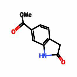 COC(=O)c1ccc2c(c1)NC(=O)C2